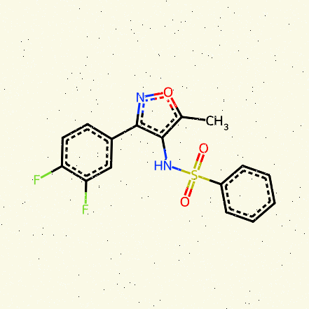 Cc1onc(-c2ccc(F)c(F)c2)c1NS(=O)(=O)c1ccccc1